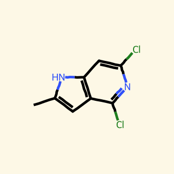 Cc1cc2c(Cl)nc(Cl)cc2[nH]1